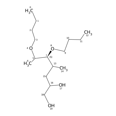 CCCCOC(C)[C@@H](OCCCC)C(C)CC(O)CO